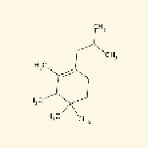 CC1=C(CC(C)C)CCC(C)(C)C1C